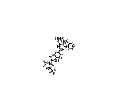 CC1COCCN1c1nc(-c2ccc(NC(=O)N(OC(=O)C(F)(F)F)C3CC3)cc2)nc2c1CCNC2